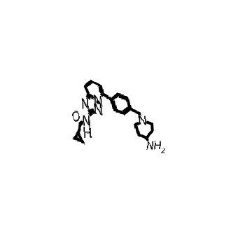 NC1CCN(Cc2ccc(-c3cccc4nc(NC(=O)C5CC5)nn34)cc2)CC1